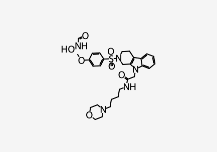 COc1ccc(S(=O)(=O)N2CCc3c(n(CC(=O)NCCCCN4CCOCC4)c4ccccc34)C2)cc1.O=CNO